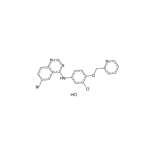 Cl.Clc1cc(Nc2ncnc3ccc(Br)cc23)ccc1OCc1ccccn1